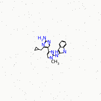 CN1CC=C(c2cnc(N)nc2CC2CC2)N=C1Nc1cnc2ccccc2c1